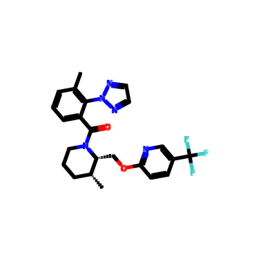 Cc1cccc(C(=O)N2CCC[C@@H](C)[C@H]2COc2ccc(C(F)(F)F)cn2)c1-n1nccn1